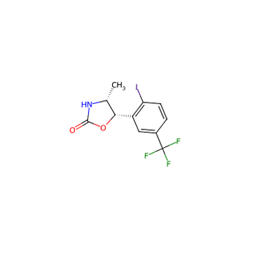 C[C@H]1NC(=O)O[C@H]1c1cc(C(F)(F)F)ccc1I